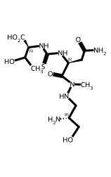 CC(O)[C@H](NC(=S)N[C@@H](CC(N)=O)C(=O)N(C)NC[C@@H](N)CO)C(=O)O